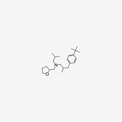 CC(C)CN(CC(C)Cc1ccc(C(C)(C)C)cc1)CC1CCCO1